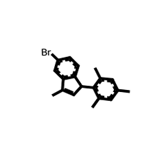 CC1=CC(c2c(C)cc(C)cc2C)c2ccc(Br)cc21